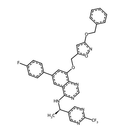 C[C@@H](Nc1ncnc2c(OCc3cc(OCc4ccccc4)no3)cc(-c3ccc(F)cc3)cc12)c1cnc(C(F)(F)F)nc1